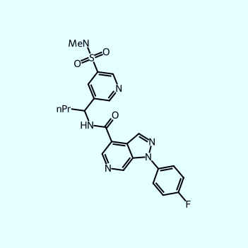 CCCC(NC(=O)c1cncc2c1cnn2-c1ccc(F)cc1)c1cncc(S(=O)(=O)NC)c1